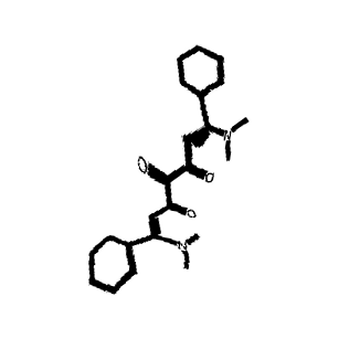 CN(C)C(=CC(=O)C(=O)C(=O)C=C(C1CCCCC1)N(C)C)C1CCCCC1